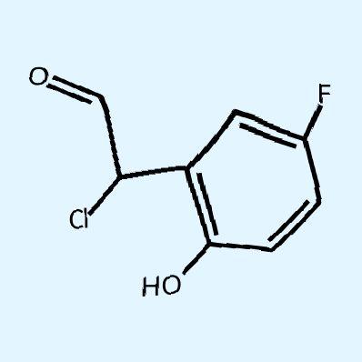 O=CC(Cl)c1cc(F)ccc1O